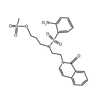 CS(=O)(=O)OCCCN(CCn1ccc2ccccc2c1=O)S(=O)(=O)c1ccccc1[N+](=O)[O-]